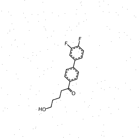 O=C(CCCCO)c1ccc(-c2ccc(F)c(F)c2)cc1